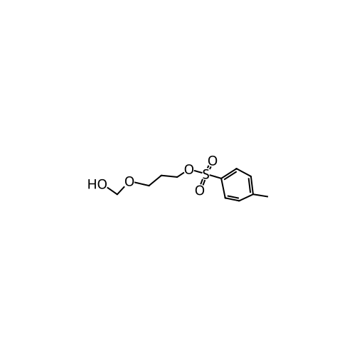 Cc1ccc(S(=O)(=O)OCCCOCO)cc1